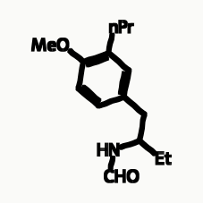 CCCc1cc(CC(CC)NC=O)ccc1OC